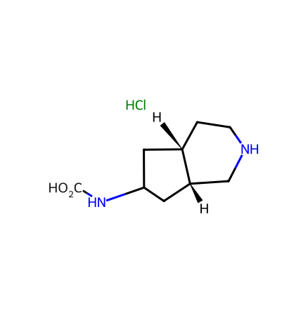 Cl.O=C(O)NC1C[C@H]2CNCC[C@H]2C1